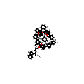 C/C(=C\C=C/C[C@H](C)C1=c2ccccc2=CC1)c1ccc2c3ccc4c5ccccc5sc4c3n(-c3c(C#N)c(-n4c5ccccc5c5ccccc54)c(-n4c5cccc(-c6ccccc6-c6cccc7ccccc67)c5c5ccc6c7ccccc7sc6c54)c(C#N)c3-n3c4ccccc4c4ccccc43)c2c1